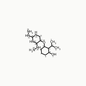 CC(C)C1C(O)CCCC1OC1CNC(NN)NC1NN